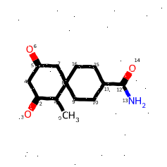 CC1C(=O)CC(=O)CC12CCC(C(N)=O)CC2